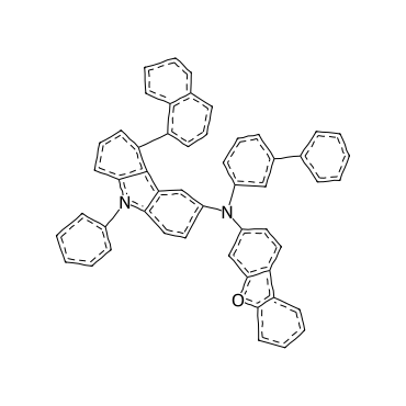 c1ccc(-c2cccc(N(c3ccc4c(c3)oc3ccccc34)c3ccc4c(c3)c3c(-c5cccc6ccccc56)cccc3n4-c3ccccc3)c2)cc1